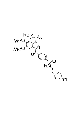 CCC(C(=O)O)c1cnc(C(=O)c2ccc(C(=O)NCCc3ccc(Cl)cc3)cc2)c2cc(OC)c(OC)cc12